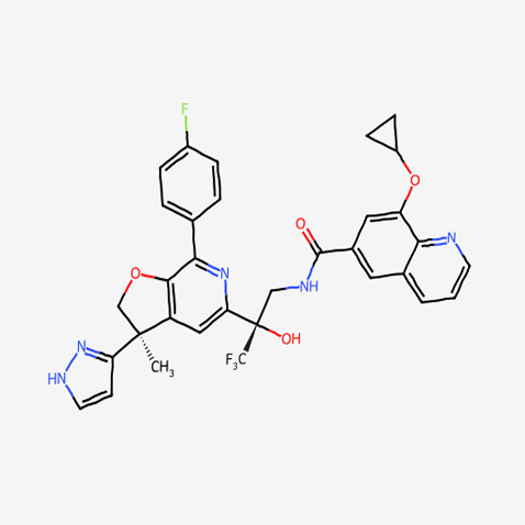 C[C@]1(c2cc[nH]n2)COc2c1cc([C@@](O)(CNC(=O)c1cc(OC3CC3)c3ncccc3c1)C(F)(F)F)nc2-c1ccc(F)cc1